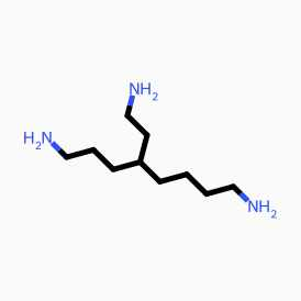 NCCCCC(CCN)CCCN